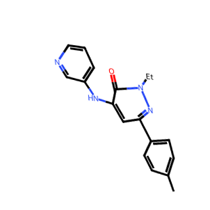 CCn1nc(-c2ccc(C)cc2)cc(Nc2cccnc2)c1=O